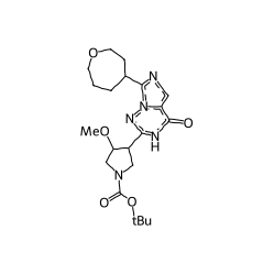 COC1CN(C(=O)OC(C)(C)C)CC1c1nn2c(C3CCCOCC3)ncc2c(=O)[nH]1